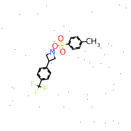 Cc1ccc(S(=O)(=O)ON2CC(c3ccc(C(F)(F)F)cc3)C2)cc1